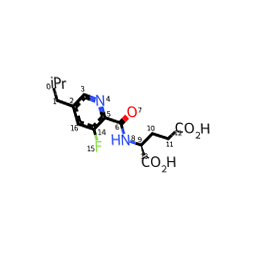 CC(C)Cc1cnc(C(=O)N[C@@H](CCC(=O)O)C(=O)O)c(F)c1